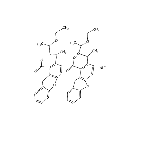 CCOC(C)OC(C)c1ccc2c(c1C(=O)[O-])Cc1ccccc1O2.CCOC(C)OC(C)c1ccc2c(c1C(=O)[O-])Cc1ccccc1O2.[Ni+2]